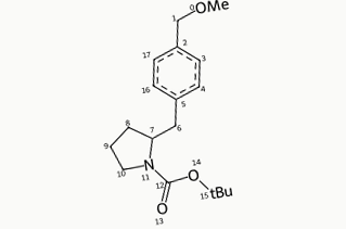 COCc1ccc(CC2CCCN2C(=O)OC(C)(C)C)cc1